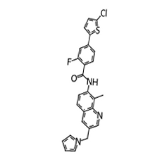 Cc1c(NC(=O)c2ccc(-c3ccc(Cl)s3)cc2F)ccc2cc(Cn3cccc3)cnc12